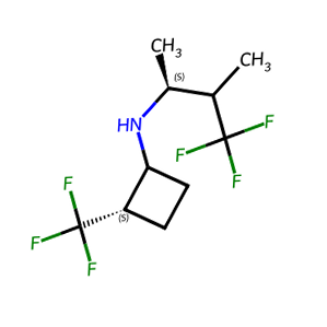 CC([C@H](C)NC1CC[C@@H]1C(F)(F)F)C(F)(F)F